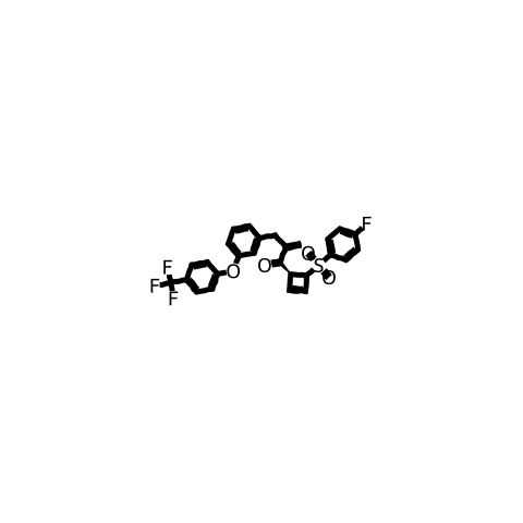 C=C(Cc1cccc(Oc2ccc(C(F)(F)F)cc2)c1)C(=O)[C@@H]1C=CC1S(=O)(=O)c1ccc(F)cc1